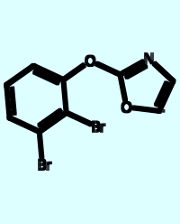 Brc1cccc(Oc2nc[c]o2)c1Br